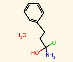 NC(O)(Cl)CCc1ccccc1.O